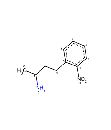 CC(N)CCc1ccccc1[N+](=O)[O-]